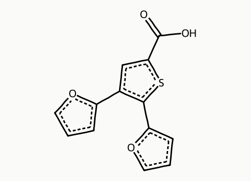 O=C(O)c1cc(-c2ccco2)c(-c2ccco2)s1